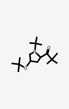 CC(C)(C)OC1CC(C(=O)C(C)(C)C)N(C(C)(C)C)C1